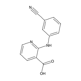 N#Cc1cccc(Nc2ncccc2C(=O)O)c1